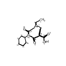 CCn1cc(C(=O)O)c(=O)n(C2CCCCC2)c1=O